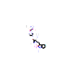 Cc1[nH]c(/C=C2\C(=O)Nc3ccc(F)cc32)c(C)c1C(=O)N[C@H]1CCN(C(=O)C(=O)N(C)C)C1